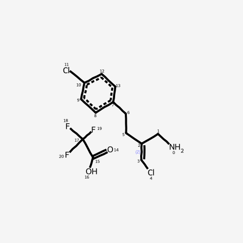 NC/C(=C\Cl)CCc1ccc(Cl)cc1.O=C(O)C(F)(F)F